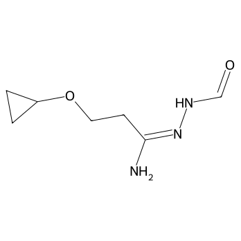 N/C(CCOC1CC1)=N/NC=O